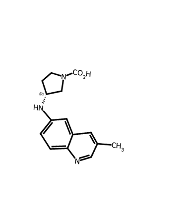 Cc1cnc2ccc(N[C@@H]3CCN(C(=O)O)C3)cc2c1